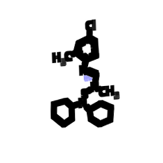 Cc1cc(Cl)ccc1/N=C/N(C)SN(C1CCCCC1)C1CCCCC1